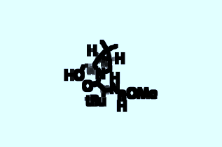 COBN[C@H](C(=O)N1C[C@H]2[C@@H]([C@H]1CO)C2(C)C)C(C)(C)C